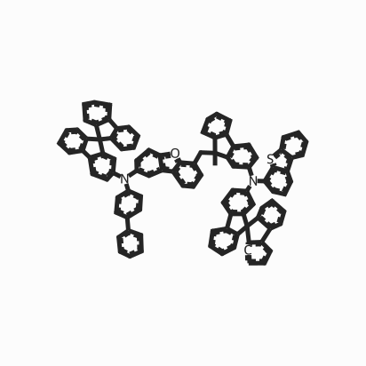 CC1(Cc2cccc3c2oc2ccc(N(c4ccc(-c5ccccc5)cc4)c4ccc5c(c4)C4(c6ccccc6-c6ccccc64)c4ccccc4-5)cc23)c2ccccc2-c2ccc(N(c3ccc4c(c3)C3(c5ccccc5-c5ccccc53)c3ccccc3-4)c3cccc4c3sc3ccccc34)cc21